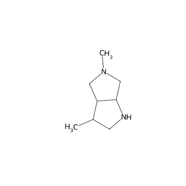 CC1CNC2CN(C)CC12